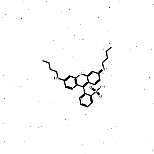 CCCC/N=c1/ccc2c(-c3ccccc3S(=O)(=O)O)c3ccc(NCCCC)cc3oc-2c1